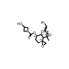 CO[C@H]1C(C2(C)O[C@@H]2/C=C/C(C)C)[C@]2(CC[C@H]1OC(=O)N1CC(O)C1)CO2